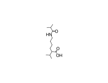 CC(C)C(=O)NCCCCC(C(=O)O)C(C)C